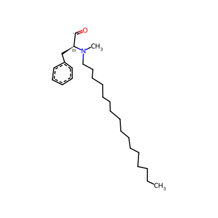 CCCCCCCCCCCCCCCCN(C)[C@H]([C]=O)Cc1ccccc1